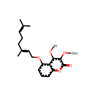 CCCCCCCCCCOc1c(OC(C)C)c2c(OC/C=C(\C)CCC=C(C)C)cccc2oc1=O